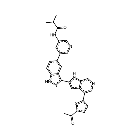 CC(=O)c1ccc(-c2cncc3[nH]c(-c4n[nH]c5ccc(-c6cncc(NC(=O)C(C)C)c6)cc45)cc23)s1